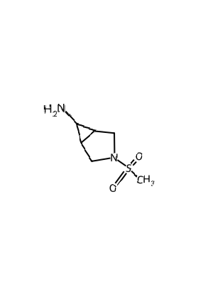 CS(=O)(=O)N1CC2C(N)C2C1